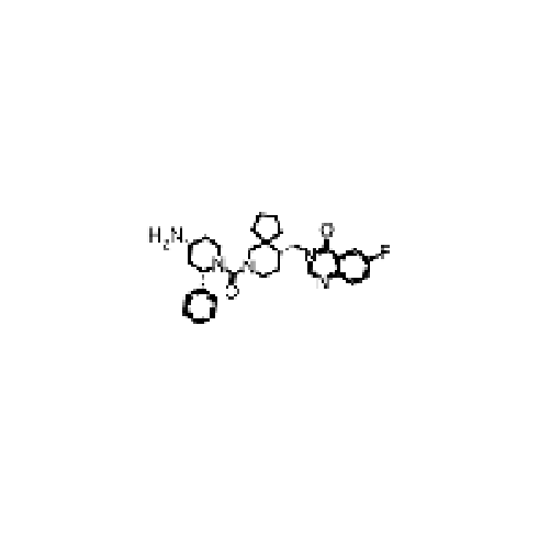 N[C@@H]1CCN(C(=O)N2CC[C@@H](Cn3cnc4ccc(F)cc4c3=O)C3(CCCC3)C2)[C@H](c2ccccc2)C1